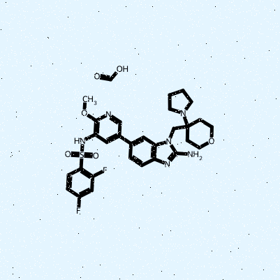 COc1ncc(-c2ccc3nc(N)n(CC4(N5CCCC5)CCOCC4)c3c2)cc1NS(=O)(=O)c1ccc(F)cc1F.O=CO